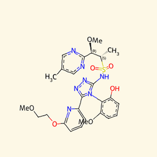 COCCOC1=NC(c2nnc(NS(=O)(=O)[C@@H](C)[C@H](OC)c3ncc(C)cn3)n2-c2c(O)cccc2OC)=C=C=C1